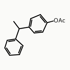 CC(=O)Oc1ccc(C(C)c2ccccc2)cc1